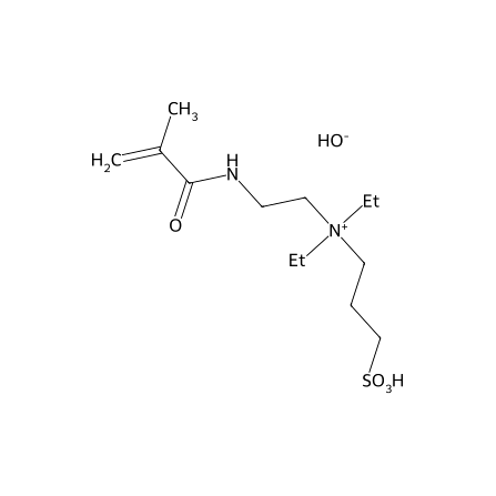 C=C(C)C(=O)NCC[N+](CC)(CC)CCCS(=O)(=O)O.[OH-]